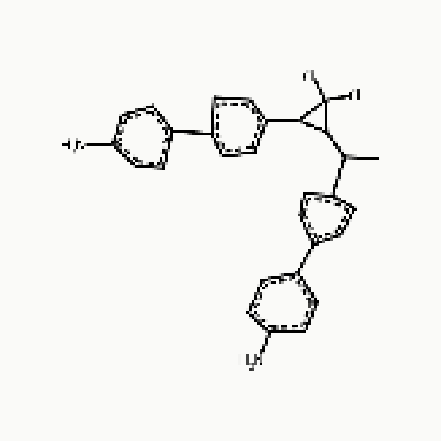 CC(c1ccc(-c2ccc(N)cc2)cc1)C1C(c2ccc(-c3ccc(N)cc3)cc2)C1(Cl)Cl